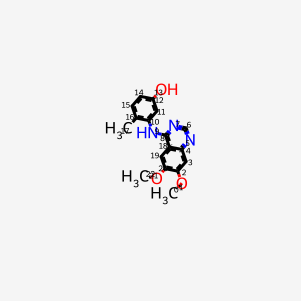 COc1cc2ncnc(Nc3cc(O)ccc3C)c2cc1OC